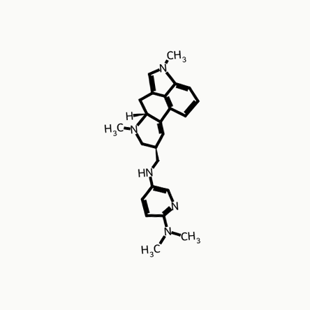 CN(C)c1ccc(NC[C@@H]2C=C3c4cccc5c4c(cn5C)C[C@H]3N(C)C2)cn1